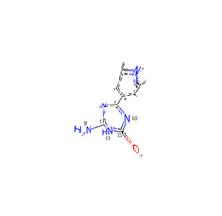 Nc1nc(-c2ccncc2)nc(=O)[nH]1